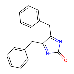 O=C1N=C(Cc2ccccc2)C(Cc2ccccc2)=N1